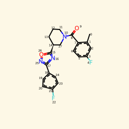 Cc1cc(F)ccc1C(=O)N1CCC[C@H](c2nc(-c3ccc(F)cc3)no2)C1